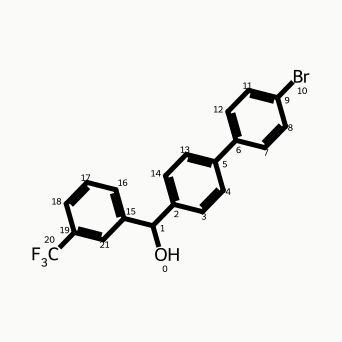 OC(c1ccc(-c2ccc(Br)cc2)cc1)c1cccc(C(F)(F)F)c1